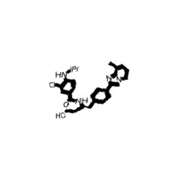 Cc1cccn2cc(-c3ccc(C[C@@H](CCO)NC(=O)c4ccc(NC(C)C)c(Cl)c4)cc3)nc12